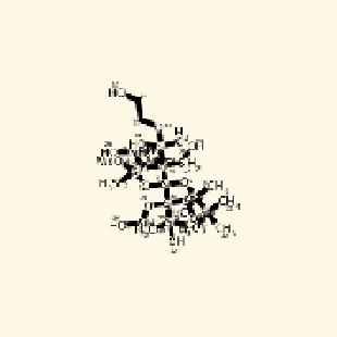 CO[Si]([SiH3])(O[Si](O[Si](C)(C)[Si](C)(C)C)([Si](O[SiH2]O)([SiH2]O)[Si](C)(C)O)[Si](O[SiH2]O)([SiH2]O)[Si](C)(O)OCCO)[SiH2]O